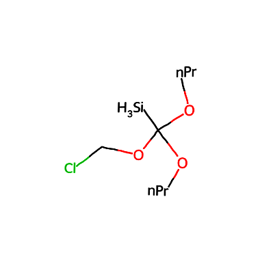 CCCOC([SiH3])(OCCl)OCCC